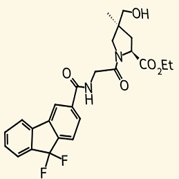 CCOC(=O)[C@@H]1C[C@](C)(CO)CN1C(=O)CNC(=O)c1ccc2c(c1)-c1ccccc1C2(F)F